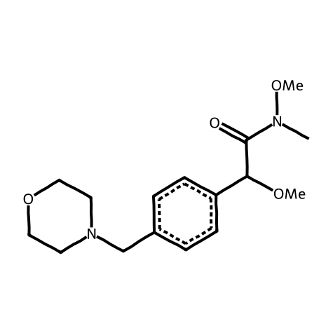 COC(C(=O)N(C)OC)c1ccc(CN2CCOCC2)cc1